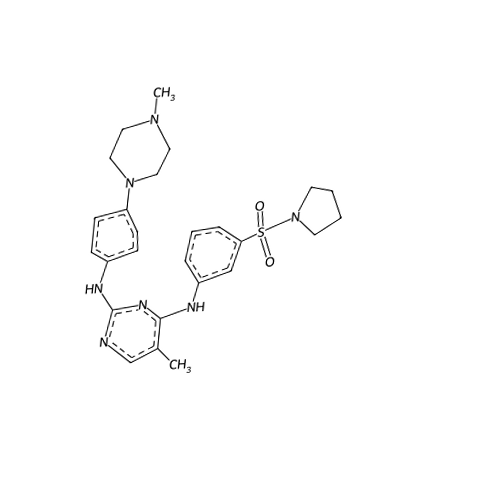 Cc1cnc(Nc2ccc(N3CCN(C)CC3)cc2)nc1Nc1cccc(S(=O)(=O)N2CCCC2)c1